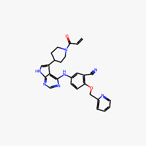 C=CC(=O)N1CCC(c2c[nH]c3ncnc(Nc4ccc(OCc5ccccn5)c(C#N)c4)c23)CC1